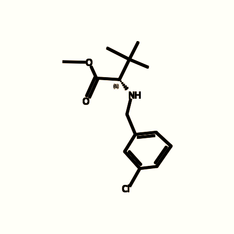 COC(=O)[C@@H](NCc1cccc(Cl)c1)C(C)(C)C